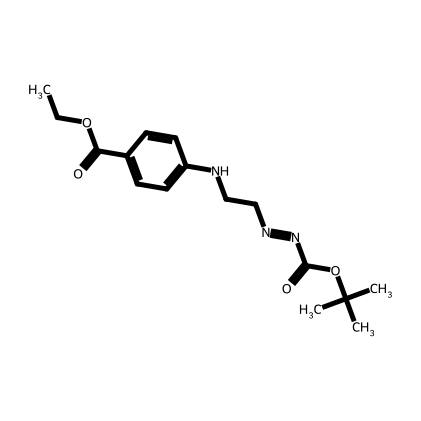 CCOC(=O)c1ccc(NCCN=NC(=O)OC(C)(C)C)cc1